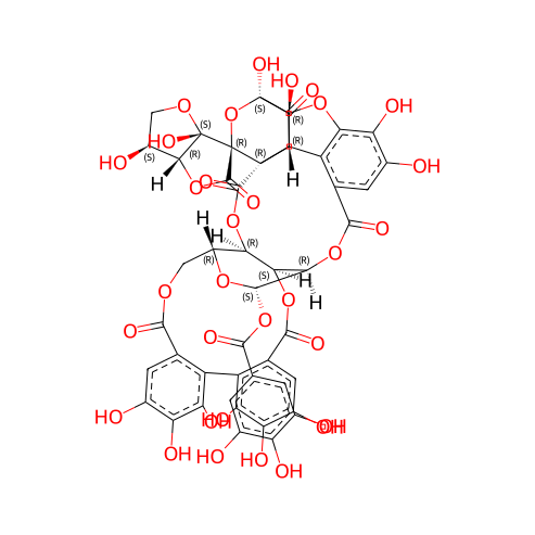 O=C(O[C@@H]1O[C@@H]2COC(=O)c3cc(O)c(O)c(O)c3-c3c(cc(O)c(O)c3O)C(=O)O[C@@H]3[C@H]1OC(=O)c1cc(O)c(O)c4c1[C@H]1[C@@](O)(O4)[C@]4(O)O[C@]5(C(=O)O[C@@H]6[C@@H](O)CO[C@@]65O)[C@]1(CC4=O)C(=O)O[C@@H]32)c1cc(O)c(O)c(O)c1